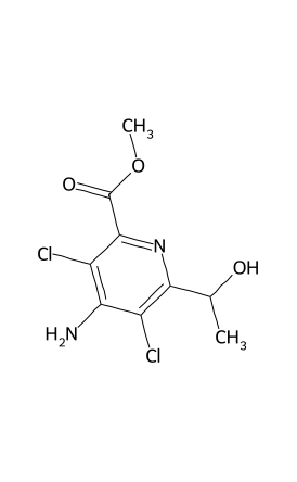 COC(=O)c1nc(C(C)O)c(Cl)c(N)c1Cl